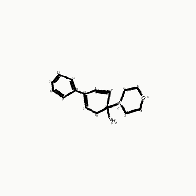 NC1(N2CCOCC2)C=CC(c2ccccc2)=CC1